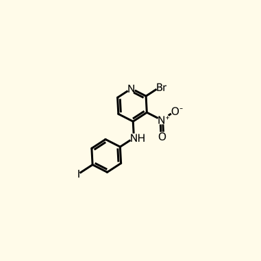 O=[N+]([O-])c1c(Nc2ccc(I)cc2)ccnc1Br